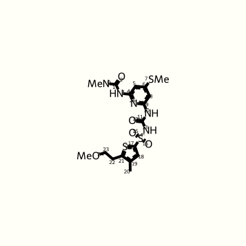 CNC(=O)Nc1cc(SC)cc(NC(=O)NS(=O)(=O)c2cc(C)c(CCOC)s2)n1